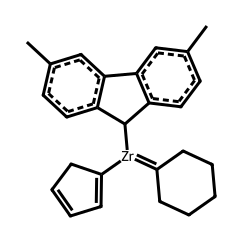 Cc1ccc2c(c1)-c1cc(C)ccc1[CH]2[Zr]([C]1=CC=CC1)=[C]1CCCCC1